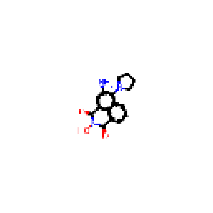 Nc1cc2c3c(cccc3c1N1CCCC1)C(=O)N(O)C2=O